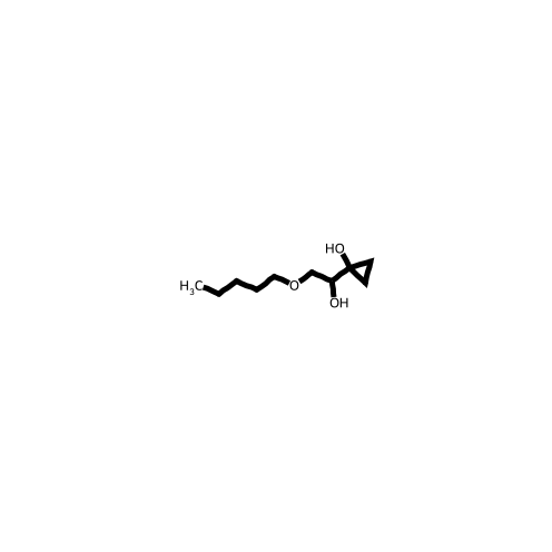 CCCCCOCC(O)C1(O)CC1